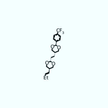 CCC=C[C@H]1CO[C@H](CC[C@H]2CO[C@H](c3ccc(C(F)(F)F)cc3)OC2)OC1